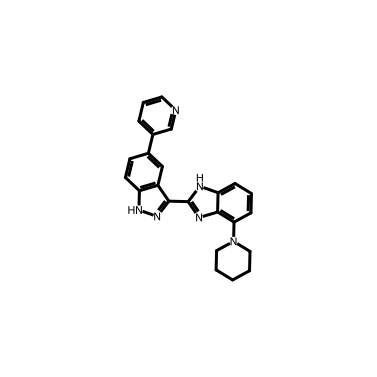 c1cncc(-c2ccc3[nH]nc(-c4nc5c(N6CCCCC6)cccc5[nH]4)c3c2)c1